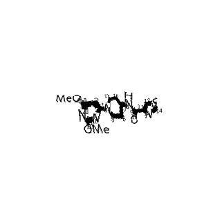 COc1cc(N2CCC(NC(=O)c3cscn3)CC2)nc(OC)n1